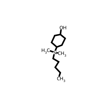 CCCCC[Si](C)(C)C1CCC(O)CC1